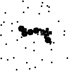 O=C(Cc1ccc(F)cc1)N[C@@H](CSCc1ccc(-c2ccc(-c3cccc4c3oc3ccccc34)cc2)cc1)C(=O)O